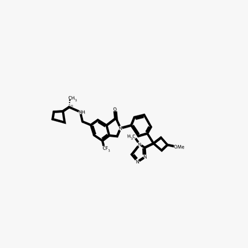 COC1CC(c2cccc(N3Cc4c(cc(CN[C@@H](C)C5CCC5)cc4C(F)(F)F)C3=O)c2)(c2nncn2C)C1